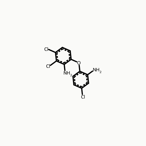 Nc1cc(Cl)ccc1Oc1ccc(Cl)c(Cl)c1N